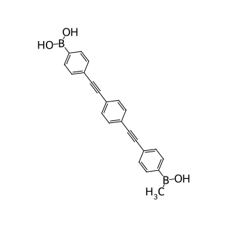 CB(O)c1ccc(C#Cc2ccc(C#Cc3ccc(B(O)O)cc3)cc2)cc1